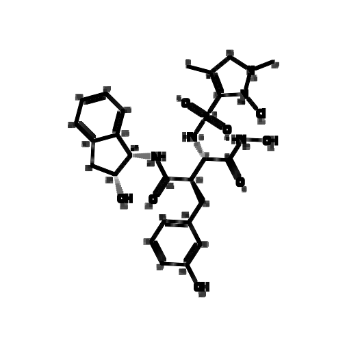 CC1=C(S(=O)(=O)N[C@H](C(=O)NO)[C@@H](Cc2cccc(O)c2)C(=O)N[C@H]2c3ccccc3C[C@H]2O)N(Cl)N(C)C1